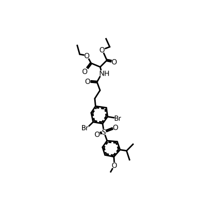 CCOC(=O)C(NC(=O)CCc1cc(Br)c(S(=O)(=O)c2ccc(OC)c(C(C)C)c2)c(Br)c1)C(=O)OCC